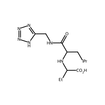 CCC(NC(CC(C)C)C(=O)NCc1nnn[nH]1)C(=O)O